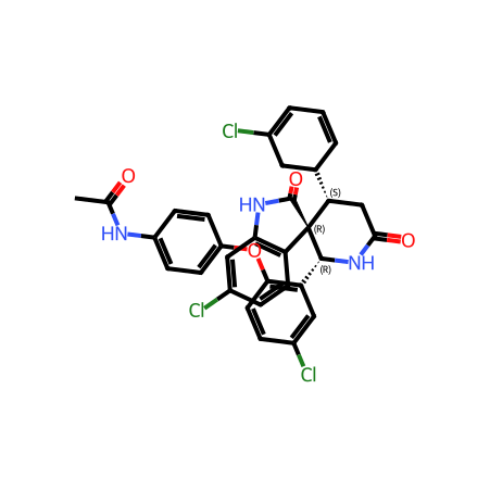 CC(=O)Nc1ccc(Oc2ccc(Cl)cc2[C@H]2NC(=O)C[C@@H](C3C=CC=C(Cl)C3)[C@]23C(=O)Nc2cc(Cl)ccc23)cc1